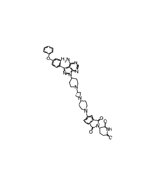 Nc1ncnc2c1c(-c1ccc(Oc3ccccc3)cc1)nn2C1CCN(C2CN(C3CCN(c4ccc5c(c4)C(=O)N(C4CCC(=O)NC4=O)C5=O)CC3)C2)CC1